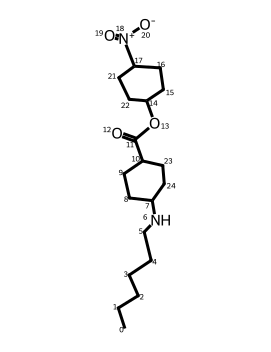 CCCCCCNC1CCC(C(=O)OC2CCC([N+](=O)[O-])CC2)CC1